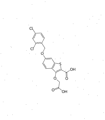 O=C(O)COc1c(C(=O)O)sc2cc(OCc3ccc(Cl)cc3Cl)ccc12